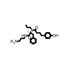 CCCN(C(=O)CCCc1ccc(O)cc1)[C@@](C)(Cc1ccccc1)C(=O)NCCCN